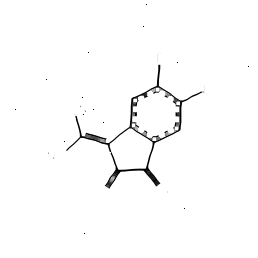 C=C1C(=O)c2cc(F)c(F)cc2C1=C(C#N)C#N